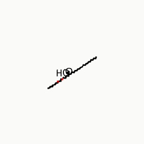 CCCCCCCCC=CCCCCCCCCCCC(CCCCCCCCCCCCCCCC)C(=O)O